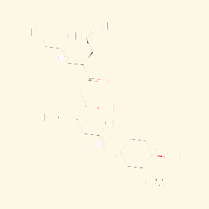 C=CC[C@H](/C=C(\C)CC(C)C)C(=O)C[C@H](O)[C@@H](C)C/C(C)=C/[C@@H]1CC[C@@H](O)[C@H](OC)C1